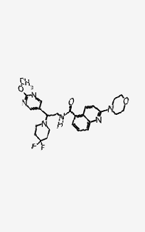 COc1ncc(C(CNC(=O)c2cccc3nc(N4CCOCC4)ccc23)N2CCC(F)(F)CC2)cn1